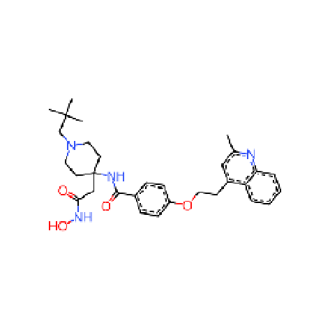 Cc1cc(CCOc2ccc(C(=O)NC3(CC(=O)NO)CCN(CC(C)(C)C)CC3)cc2)c2ccccc2n1